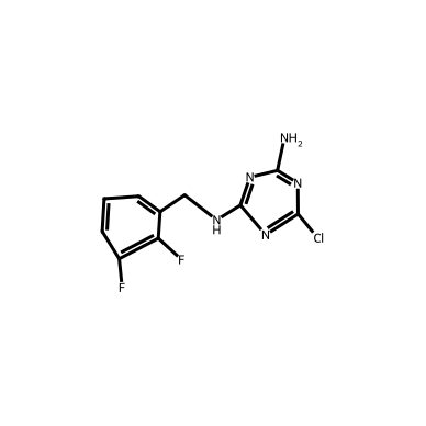 Nc1nc(Cl)nc(NCc2cccc(F)c2F)n1